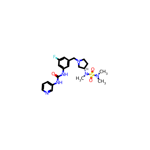 CN(C)S(=O)(=O)N(C)[C@H]1CCN(Cc2cc(F)cc(NC(=O)Nc3cccnc3)c2)C1